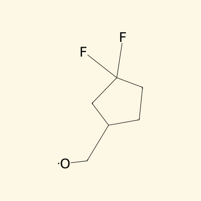 [O]CC1CCC(F)(F)C1